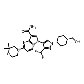 CC1(C)CN(c2cc[n+]3c(n2)c(C(N)=O)cn3-c2cn([C@H]3CC[C@H](CO)CC3)nc2C(F)F)CCO1